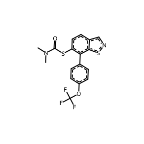 CN(C)C(=O)Sc1ccc2cnsc2c1-c1ccc(OC(F)(F)F)cc1